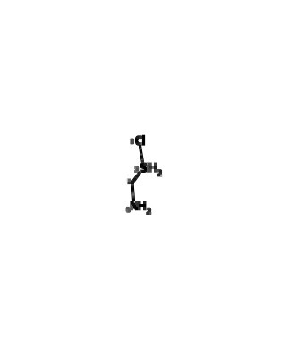 NC[SiH2]Cl